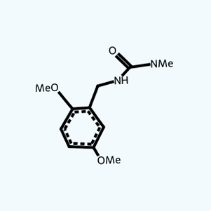 CNC(=O)NCc1cc(OC)ccc1OC